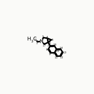 CCN1CC2CC2(c2ccc3ccccc3c2)C1